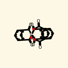 C[CH](C)[Ti]123(=[O])([O]C(=O)c4cccc(c4)C(=O)[O]1)([C](=O)c1cccc(c1)[C]2=O)[C](=O)c1cccc(c1)[C]3=O